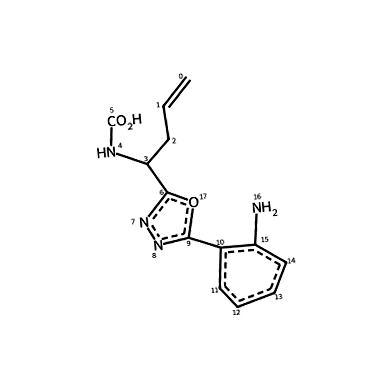 C=CCC(NC(=O)O)c1nnc(-c2ccccc2N)o1